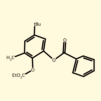 CCOC(=O)Oc1c(C)cc(C(C)(C)C)cc1OC(=O)c1ccccc1